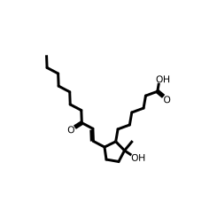 CCCCCCCC(=O)C=CC1CCC(C)(O)C1CCCCCC(=O)O